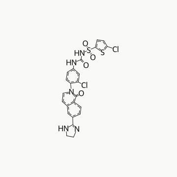 O=C(Nc1ccc(-n2ccc3cc(C4=NCCN4)ccc3c2=O)c(Cl)c1)NS(=O)(=O)c1ccc(Cl)s1